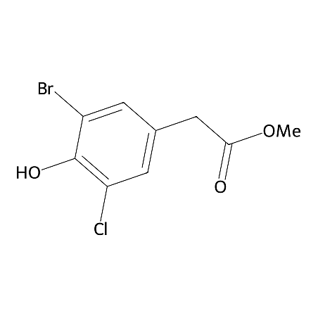 COC(=O)Cc1cc(Cl)c(O)c(Br)c1